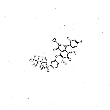 Cc1c(Oc2cccc(S(C)(=O)=N[Si](C)(C)C(C)(C)C)c2)c(C(=O)NC2CC2)c(Nc2ccc(I)cc2F)n(C)c1=O